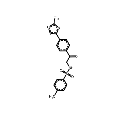 Cc1ccc(S(=O)(=O)NCC(=O)c2ccc(-c3noc(C(F)(F)F)n3)cc2)cc1